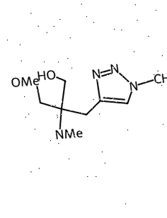 CNC(CO)(COC)Cc1cn(C)nn1